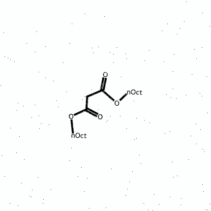 CCCCCCCCOC(=O)[CH]C(=O)OCCCCCCCC